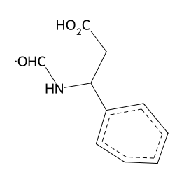 O=[C]NC(CC(=O)O)c1ccccc1